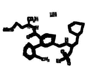 CCS(=O)(=O)CC(CC1CCCCC1)NCc1ccc(C(=O)N[C@@H](CCSC)C(=O)O)c(-c2ccccc2C)c1.[LiH]